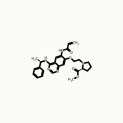 C=CC(=O)Nc1cc2c(N[C@H](C)c3ccccc3)ncnc2cc1OCCN1CCC[C@H]1C(=O)OC